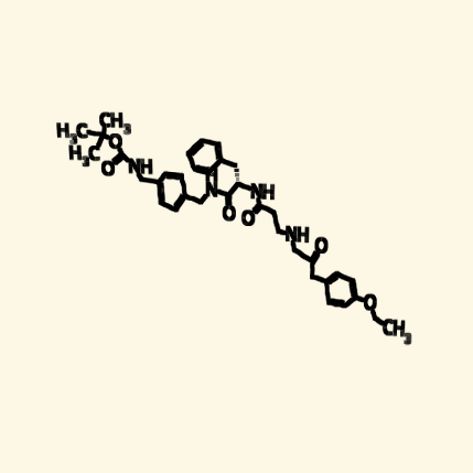 CCOc1ccc(CC(=O)CNCCC(=O)N[C@@H](Cc2ccccc2)C(=O)NCc2ccc(CNC(=O)OC(C)(C)C)cc2)cc1